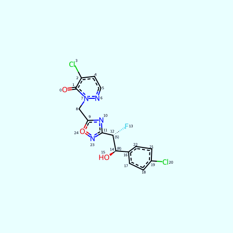 O=c1c(Cl)ccnn1Cc1nc([C@H](F)[C@H](O)c2ccc(Cl)cc2)no1